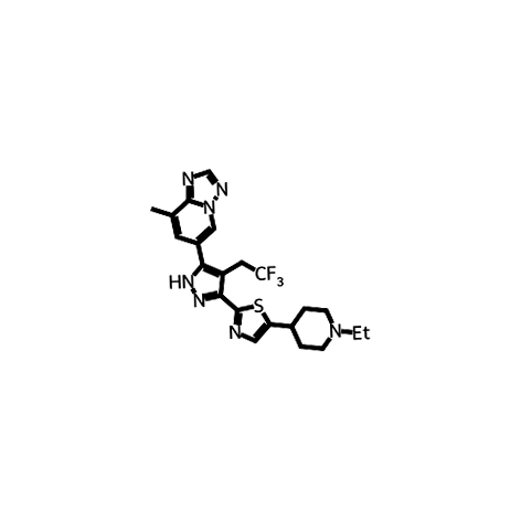 CCN1CCC(c2cnc(-c3n[nH]c(-c4cc(C)c5ncnn5c4)c3CC(F)(F)F)s2)CC1